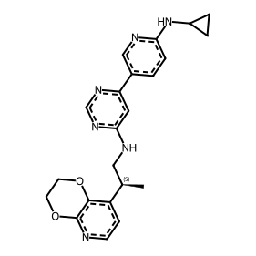 C[C@H](CNc1cc(-c2ccc(NC3CC3)nc2)ncn1)c1ccnc2c1OCCO2